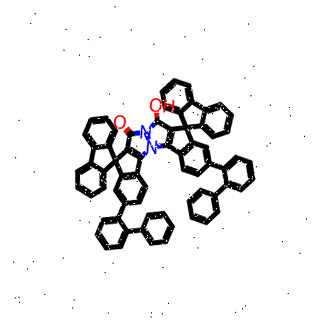 O=c1c2c(n3n1C(O)C1=C3c3ccc(-c4ccccc4-c4ccccc4)cc3C13c1ccccc1-c1ccccc13)-c1ccc(-c3ccccc3-c3ccccc3)cc1C21c2ccccc2-c2ccccc21